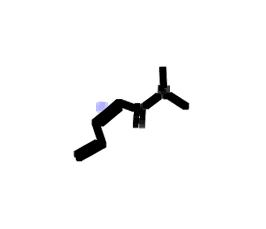 C=C/C=C\NN(C)C